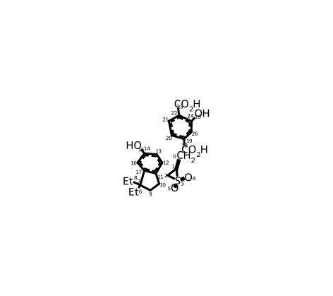 C=C1CS1(=O)=O.CCC1(CC)CCc2ccc(O)cc21.O=C(O)c1ccc(C(=O)O)c(O)c1